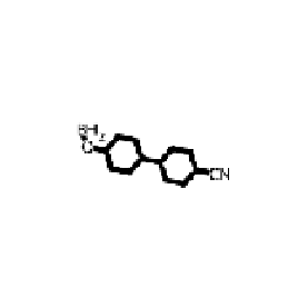 BOC1CCC(C2CCC(C#N)CC2)CC1